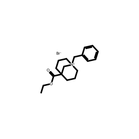 CCOC(=O)C12CCC[N+](Cc3ccccc3)(CCC1)C2.[Br-]